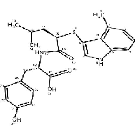 Cc1cccc2[nH]cc(S[C@H](CC(C)C)C(=O)N[C@@H](Cc3ccc(O)cc3)C(=O)O)c12